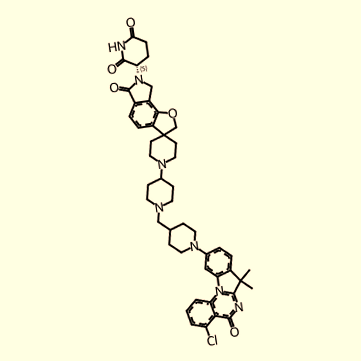 CC1(C)c2ccc(N3CCC(CN4CCC(N5CCC6(CC5)COc5c6ccc6c5CN([C@H]5CCC(=O)NC5=O)C6=O)CC4)CC3)cc2-n2c1nc(=O)c1c(Cl)cccc12